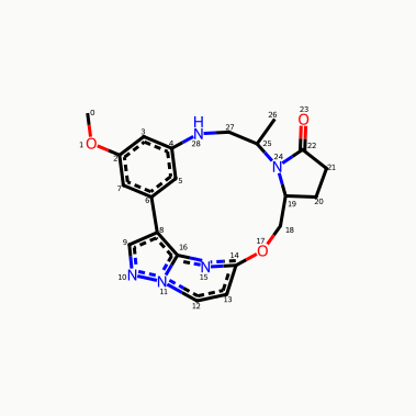 COc1cc2cc(c1)-c1cnn3ccc(nc13)OCC1CCC(=O)N1C(C)CN2